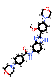 COc1cc(N2CCOCC2)ccc1-c1nc2cc(NC(=O)c3ccc(N4CCOCC4)cc3)ccc2[nH]1